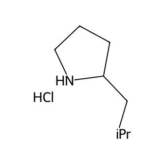 CC(C)CC1CCCN1.Cl